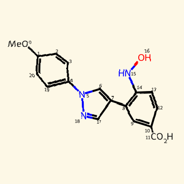 COc1ccc(-n2cc(-c3cc(C(=O)O)ccc3NO)cn2)cc1